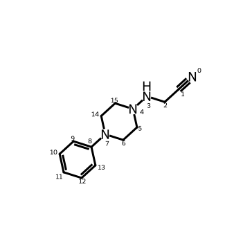 N#CCNN1CCN(c2ccccc2)CC1